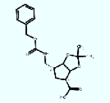 CC1(C)OC2C(O1)[C@@H](C(=O)O)C[C@@H]2CNC(=O)OCc1ccccc1